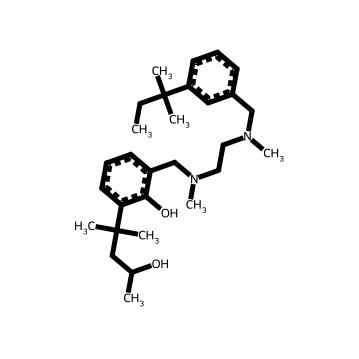 CCC(C)(C)c1cccc(CN(C)CCN(C)Cc2cccc(C(C)(C)CC(C)O)c2O)c1